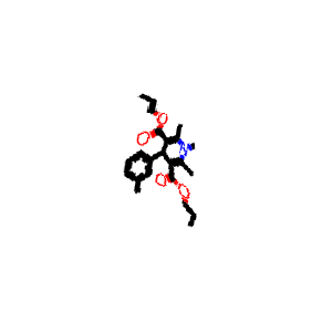 CCCOC(=O)C1=C(C)N(C)C(C)=C(C(=O)OCCC)C1c1cccc(C)c1